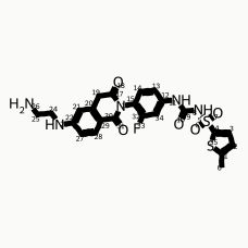 Cc1ccc(S(=O)(=O)NC(=O)Nc2ccc(N3C(=O)Cc4cc(NCCN)ccc4C3=O)c(F)c2)s1